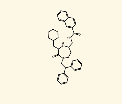 O=C(NCC1CCN(CC(c2ccccc2)c2ccccc2)C(=O)C(CC2CCCCC2)N1)c1ccc2ccccc2c1